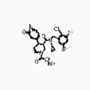 Cn1ccc(C2CCN(C(=O)OC(C)(C)C)CC2C(=O)N(Cc2cc(Br)cc(Cl)c2Cl)C2CC2)cc1=O